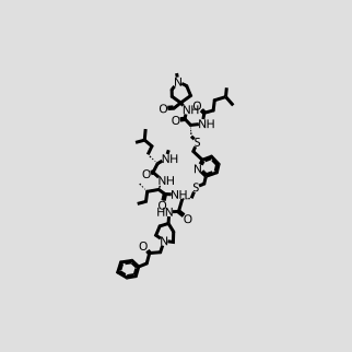 CC[C@H](C)[C@H](NC(=O)[C@H](CCC(C)C)NC)C(=O)N[C@H](CSCc1cccc(CSC[C@@H](NC(=O)CCC(C)C)C(=O)NC2(C=O)CCN(C)CC2)n1)C(=O)NC1CCN(CC(=O)Cc2ccccc2)CC1